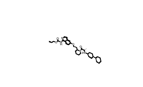 C=CCOC(=O)Nc1nccc2cc(OCCC3CCCCN3C(=O)[C@H](C)NC3CCC(C4CCCCC4)CC3)ccc12